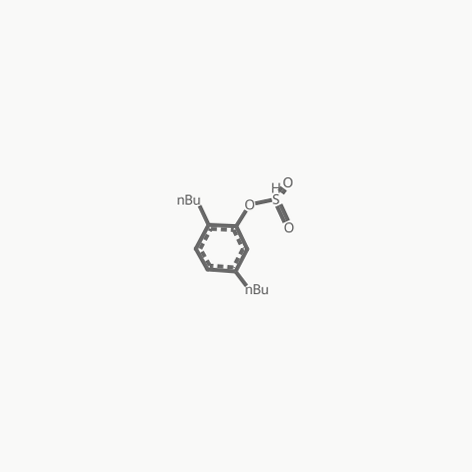 CCCCc1ccc(CCCC)c(O[SH](=O)=O)c1